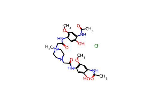 COc1cc(NC(C)=O)c(O)cc1NC(=O)CN1CC[N+](C)(CC(=O)Nc2cc(O)c(NC(C)=O)cc2OC)CC1.[Cl-]